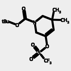 CC1(C)C=C(OS(=O)(=O)C(F)(F)F)CN(C(=O)OC(C)(C)C)C1